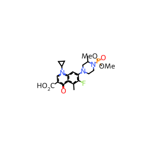 COP(=O)(OC)N1CCN(c2cc3c(c(C)c2F)c(=O)c(C(=O)O)cn3C2CC2)CC1C